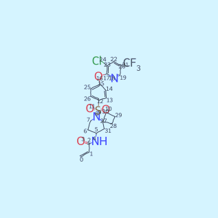 C=CC(=O)NC1CCN(S(=O)(=O)c2ccc(Oc3ncc(C(F)(F)F)cc3Cl)cc2)C2(CCC2)C1